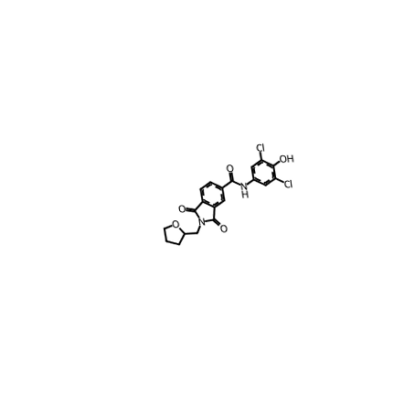 O=C(Nc1cc(Cl)c(O)c(Cl)c1)c1ccc2c(c1)C(=O)N(CC1CCCO1)C2=O